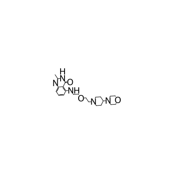 Cc1nc2cccc(NCCOCCN3CCC(N4CCOCC4)CC3)c2c(=O)[nH]1